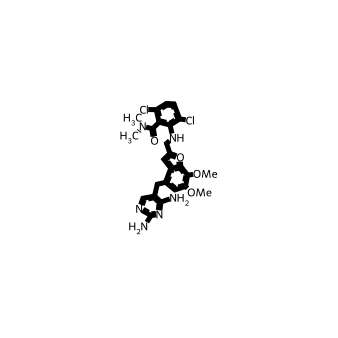 COc1cc(Cc2cnc(N)nc2N)c2cc(CNc3c(Cl)ccc(Cl)c3C(=O)N(C)C)oc2c1OC